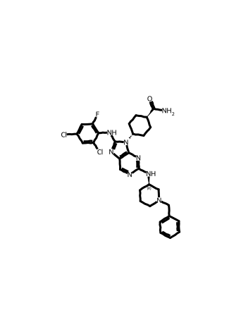 NC(=O)[C@H]1CC[C@H](n2c(Nc3c(F)cc(Cl)cc3Cl)nc3cnc(N[C@@H]4CCCN(Cc5ccccc5)C4)nc32)CC1